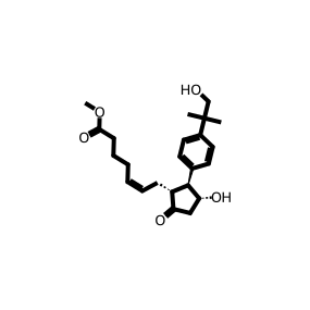 COC(=O)CCC/C=C\C[C@H]1C(=O)C[C@@H](O)[C@@H]1c1ccc(C(C)(C)CO)cc1